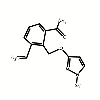 C=Cc1cccc(C(N)=O)c1COc1ccn(S)n1